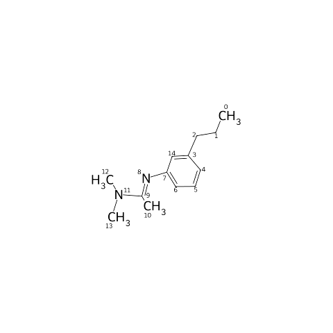 CCCc1cccc(/N=C(\C)N(C)C)c1